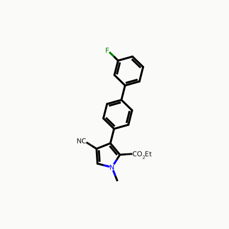 CCOC(=O)c1c(-c2ccc(-c3cccc(F)c3)cc2)c(C#N)cn1C